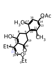 CCO/N=C(/CC)C1=C(O)CC(c2c(C)cc(OC(C)=O)cc2C)CC1=O